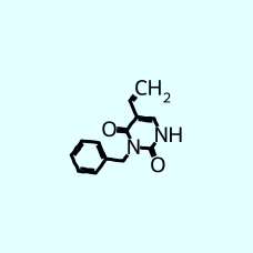 C=Cc1c[nH]c(=O)n(Cc2ccccc2)c1=O